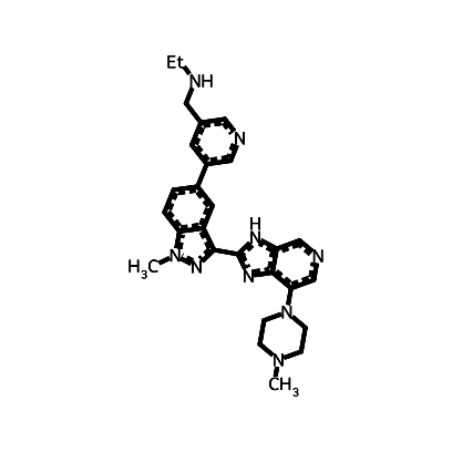 CCNCc1cncc(-c2ccc3c(c2)c(-c2nc4c(N5CCN(C)CC5)cncc4[nH]2)nn3C)c1